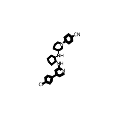 N#Cc1ccc(N2CCC[C@H](N[C@@H]3CCCC[C@H]3Nc3cc(-c4ccc(Cl)cc4)ccn3)C2)cc1